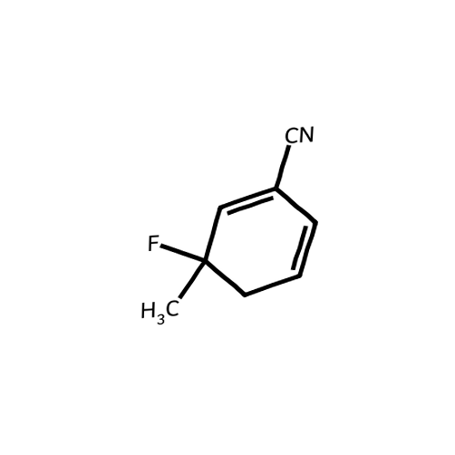 CC1(F)C=C(C#N)C=CC1